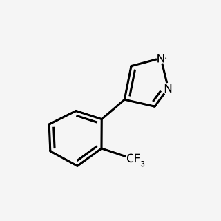 FC(F)(F)c1ccccc1C1=C[N]N=C1